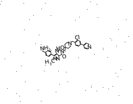 Cn1nc2c(=O)n(CC3(O)CCN(Cc4ccc(-c5ccncc5)cc4Cl)CC3)cnc2c1-c1ccc(CN)cc1